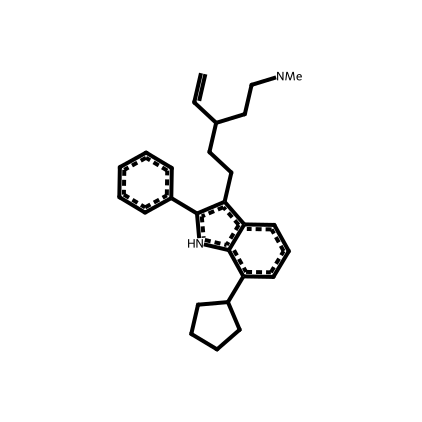 C=CC(CCNC)CCc1c(-c2ccccc2)[nH]c2c(C3CCCC3)cccc12